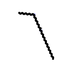 CCCCCCCC/C=C\CCCCCCC[CH]/C=C/CCCCCCCCCCCCCCCCC